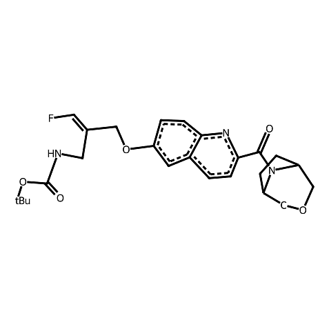 CC(C)(C)OC(=O)NC/C(=C\F)COc1ccc2nc(C(=O)N3C4CCC3COC4)ccc2c1